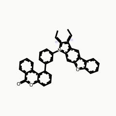 C/C=c1\c(=C/C)n(-c2cccc(-c3cccc4oc(=O)c5ccccc5c34)c2)c2cc3oc4ccccc4c3cc12